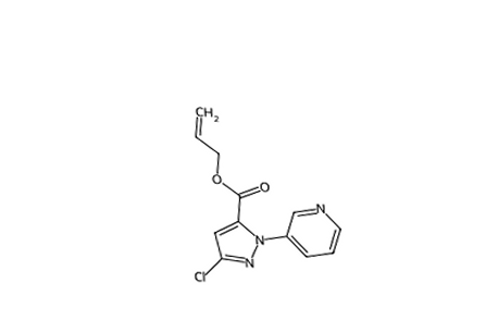 C=CCOC(=O)c1cc(Cl)nn1-c1cccnc1